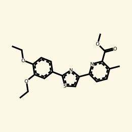 CCOc1ccc(-c2nc(-c3ccc(C)c(C(=O)OC)n3)cs2)cc1OCC